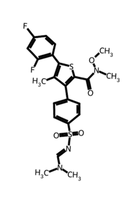 CON(C)C(=O)c1sc(-c2ccc(F)cc2F)c(C)c1-c1ccc(S(=O)(=O)N=CN(C)C)cc1